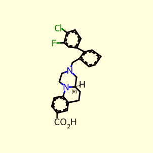 O=C(O)c1ccc2c(c1)CC[C@@H]1CN(Cc3ccccc3-c3ccc(Cl)c(F)c3)CCN21